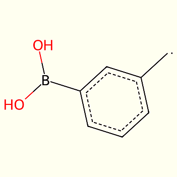 [CH2]c1cccc(B(O)O)c1